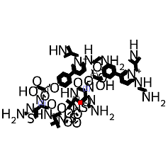 CC1(C)[C@H](NC(=O)/C(=N\O[C@@H](COc2ccc(-c3ccc(NCCN)[n+](CC4CNC4)c3)cc2)C(=O)O)c2csc(N)n2)C(=O)N1OS(=O)(=O)ON1C(=O)[C@@H](NC(=O)/C(=N\O[C@@H](COc2ccc(-c3ccc(NCCN)[n+](CC4CNC4)c3)cc2)C(=O)O)c2csc(N)n2)C1(C)C